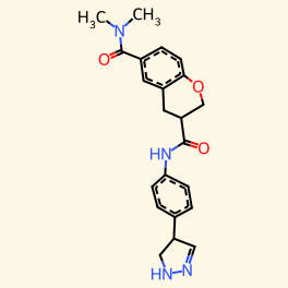 CN(C)C(=O)c1ccc2c(c1)CC(C(=O)Nc1ccc(C3C=NNC3)cc1)CO2